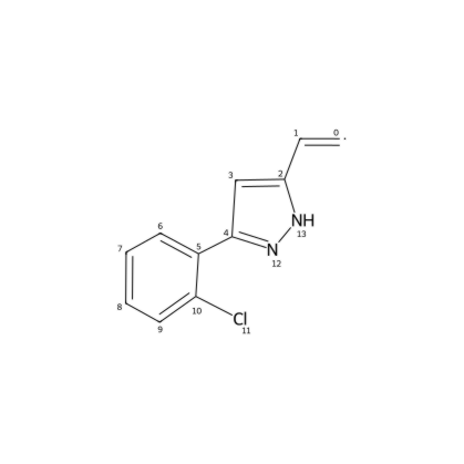 [CH]=Cc1cc(-c2ccccc2Cl)n[nH]1